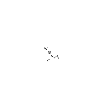 [MgH2].[Ni].[W].[Zr]